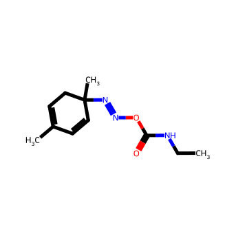 CCNC(=O)ON=NC1(C)C=CC(C)=CC1